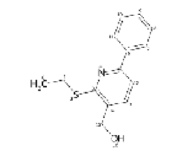 CCSc1nc(-c2ccccc2)ccc1CO